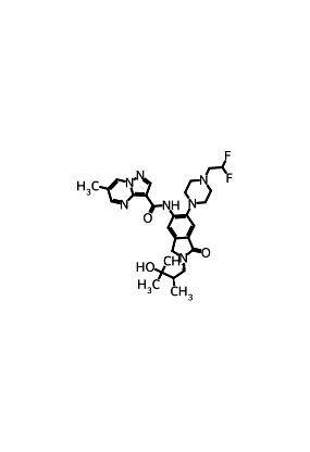 Cc1cnc2c(C(=O)Nc3cc4c(cc3N3CCN(CC(F)F)CC3)C(=O)N(C[C@@H](C)C(C)(C)O)C4)cnn2c1